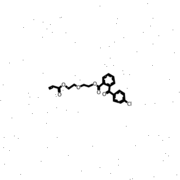 C=CC(=O)OCCOCCOC(=O)c1ccccc1C(=O)c1ccc(Cl)cc1